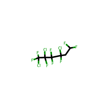 FC(F)CC(F)(Cl)C(F)(F)C(F)(Cl)C(F)(F)Cl